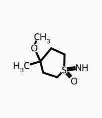 COC1(C)CCS(=N)(=O)CC1